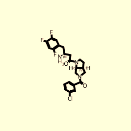 N[C@@H](CC(=O)N1CC[C@H]2CN(C(=O)c3cccc(Cl)c3)C[C@H]21)Cc1cc(F)c(F)cc1F